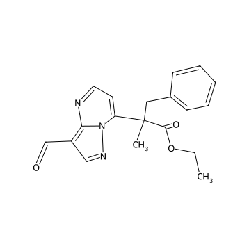 CCOC(=O)C(C)(Cc1ccccc1)c1ccnc2c(C=O)cnn12